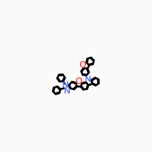 c1ccc(-c2nc3cc4c(cc3n2-c2ccccc2)oc2c4ccc3c4ccccc4n(-c4ccc5oc6ccccc6c5c4)c32)cc1